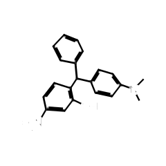 CN(C)c1ccc(C(c2ccccc2)c2ccc([N+](=O)[O-])cc2O)cc1